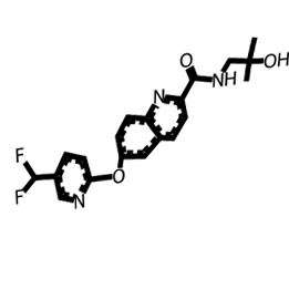 CC(C)(O)CNC(=O)c1ccc2cc(Oc3ccc(C(F)F)cn3)ccc2n1